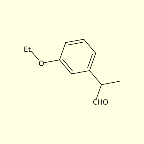 CCOc1cccc(C(C)[C]=O)c1